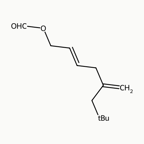 C=C(CC=CCOC=O)CC(C)(C)C